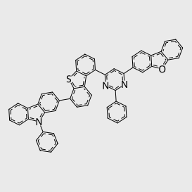 c1ccc(-c2nc(-c3ccc4c(c3)oc3ccccc34)cc(-c3cccc4sc5c(-c6ccc7c8ccccc8n(-c8ccccc8)c7c6)cccc5c34)n2)cc1